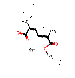 COC(=O)C(C)=CC=C(C)C(=O)[O-].[Na+]